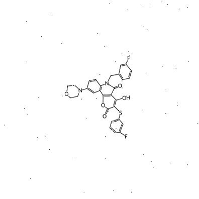 O=c1oc2c(c(O)c1Sc1cccc(F)c1)c(=O)n(Cc1cccc(F)c1)c1ccc(N3CCOCC3)cc21